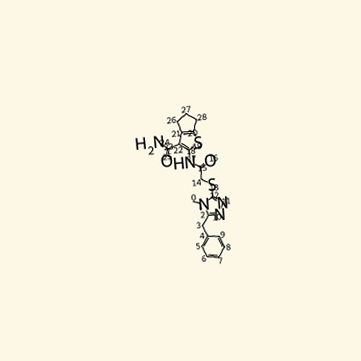 Cn1c(Cc2ccccc2)nnc1SCC(=O)Nc1sc2c(c1C(N)=O)CCC2